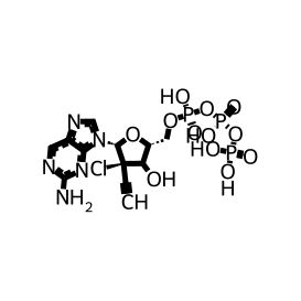 C#C[C@@]1(Cl)C(O)[C@@H](COP(=O)(O)OP(=O)(O)OP(=O)(O)O)O[C@H]1n1cnc2cnc(N)nc21